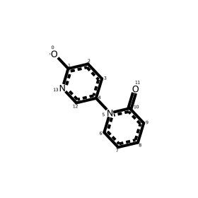 [O]c1ccc(-n2ccccc2=O)cn1